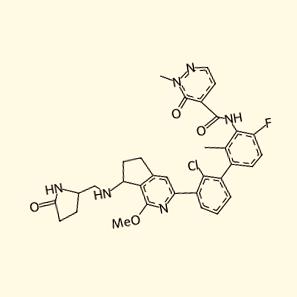 COc1nc(-c2cccc(-c3ccc(F)c(NC(=O)c4ccnn(C)c4=O)c3C)c2Cl)cc2c1C(NCC1CCC(=O)N1)CC2